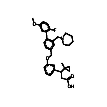 COc1ccc(F)c(-c2ccc(COc3cccc([C@H](CC(=O)O)C4(C)CC4)c3)cc2CN2CCCCC2)c1